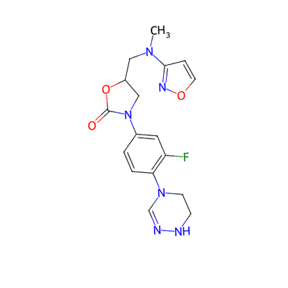 CN(CC1CN(c2ccc(N3C=NNCC3)c(F)c2)C(=O)O1)c1ccon1